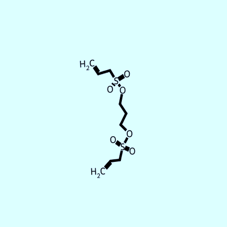 C=CCS(=O)(=O)OCCCOS(=O)(=O)CC=C